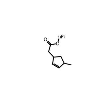 CCCOC(=O)CC1C=CC(C)C1